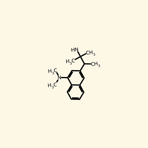 CC(c1cc(N(C)C)c2ccccc2c1)C(C)(C)[NH]